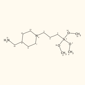 CO[Si](CCCN1CCC(CN)CC1)(OC)OC